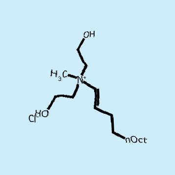 CCCCCCCCCC/C=C/[N+](C)(CCO)CCO.[Cl-]